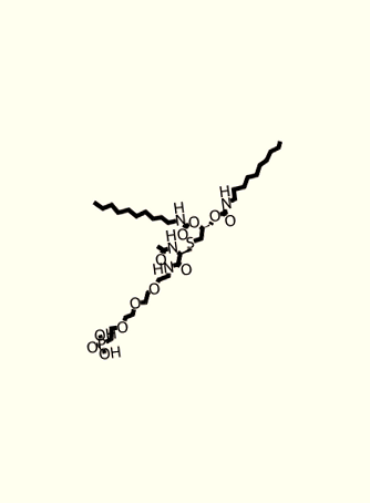 CCCCCCCCCCNC(=O)OC[C@H](CSC[C@H](NC(C)=O)C(=O)NCCOCCOCCOCCP(=O)(O)O)OC(=O)NCCCCCCCCCC